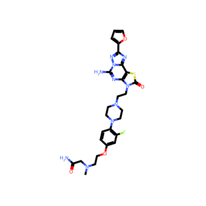 CN(CCOc1ccc(N2CCN(CCn3c(=O)sc4c3nc(N)n3nc(-c5ccco5)nc43)CC2)c(F)c1)CC(N)=O